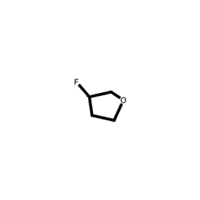 F[C]1CCOC1